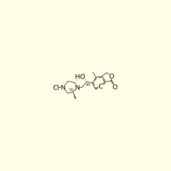 Cc1c([C@@H](O)CN2CCN(Cl)C[C@@H]2C)ccc2c1COC2=O